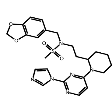 CS(=O)(=O)N(CCC1CCCCN1c1ccnc(-n2ccnc2)n1)Cc1ccc2c(c1)OCO2